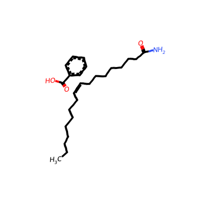 CCCCCCCC/C=C\CCCCCCCC(N)=O.O=C(O)c1ccccc1